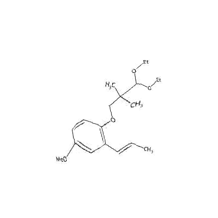 C/C=C/c1cc(OC)ccc1OCC(C)(C)C(OCC)OCC